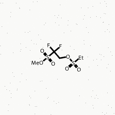 CCS(=O)(=O)OCC(F)(F)S(=O)(=O)OC